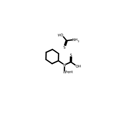 CCCCCN(C(O)=S)C1CCCCC1.NC(O)=S